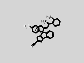 C=C(/C=C(\C=C/C)C1(C2=CC=C(C)CC2)C2=C(C=C(C#N)C2)c2ccccc21)C1=C(N)CCC=C1